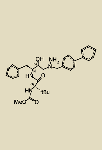 COC(=O)N[C@H](C(=O)N[C@@H](Cc1ccccc1)[C@@H](O)CN(N)Cc1ccc(-c2ccccc2)cc1)C(C)(C)C